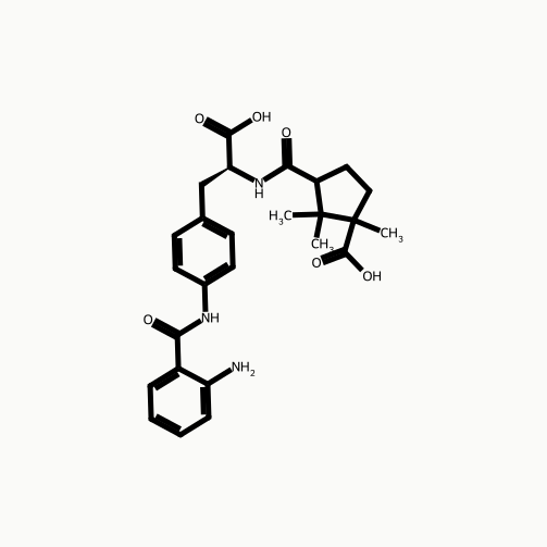 CC1(C(=O)O)CCC(C(=O)N[C@@H](Cc2ccc(NC(=O)c3ccccc3N)cc2)C(=O)O)C1(C)C